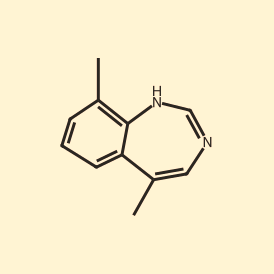 CC1=CN=CNc2c(C)cccc21